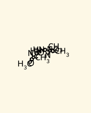 CCC1C(c2ccc(NC(=O)Nc3ccc(-c4c(C#N)c5ccc(OC)cc5n4CC)cc3)cc2)=C(C#N)c2ccc(OC)cc21